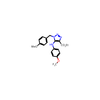 CCOC(=O)c1nnn(Cc2ccc(OC)cc2)c1Nc1ccc(OC(F)(F)F)cc1